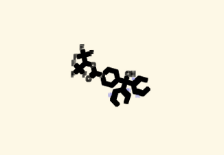 C/C=C\C(=C/C)C(O)(C(/C=C\C)=C/C)C1CCN(C(=O)OC(C(F)(F)F)C(F)(F)F)CC1